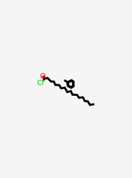 CCCCCCCCCCCCCCCCCC(=O)Cl.Cc1ccccc1